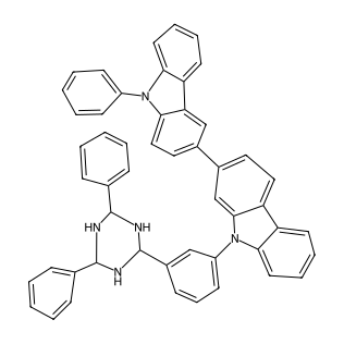 c1ccc(C2NC(c3ccccc3)NC(c3cccc(-n4c5ccccc5c5ccc(-c6ccc7c(c6)c6ccccc6n7-c6ccccc6)cc54)c3)N2)cc1